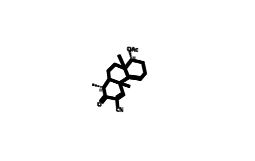 CC(=O)O[C@@H]1CCC=C2C3(C)C=C(C#N)C(=O)[C@H](C)C3CCC21C